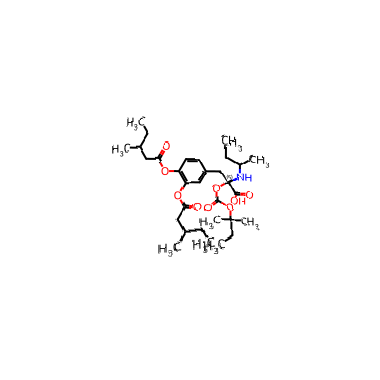 CCC(C)CC(=O)Oc1ccc(C[C@](NC(C)CC)(OC(=O)OC(C)(C)CC)C(=O)O)cc1OC(=O)CC(C)CC